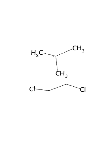 C[C](C)C.ClCCCl